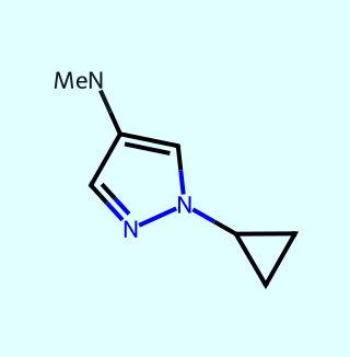 CNc1cnn(C2CC2)c1